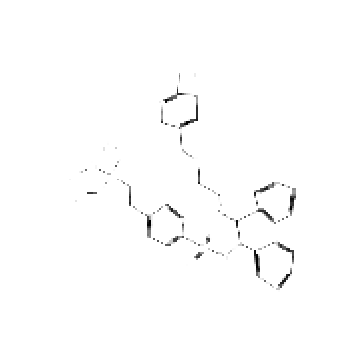 CO[Si](CCc1ccc(S(=O)(=O)NC(c2ccccc2)C(NCCOCC2=CCC(C)=CC2)c2ccccc2)cc1)(OC)OC